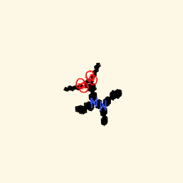 CCCCCCC(=O)OC1CCC(OC(=O)CCCCCC)c2cc(-c3ccc(N(c4ccc(-c5ccccc5)cc4)c4ccc(N(c5ccc(-c6ccccc6)cc5)c5ccc(-c6ccc7ccccc7c6)cc5)cc4)cc3)ccc21